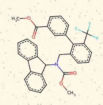 COC(=O)c1cccc(-c2c(CN(C(=O)OC)C3c4ccccc4-c4ccccc43)cccc2C(F)(F)F)c1